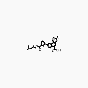 CN(C)CCCNC(=O)c1cccc(-c2ccc3c(C(=O)O)cc4c(c3c2)=C[N]C(=O)C=4)c1